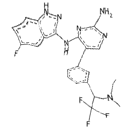 CN(C)C(c1cccc(-c2cnc(N)nc2Nc2n[nH]c3ccc(F)cc23)c1)C(F)(F)F